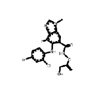 C=C(CO)ONC(=O)c1cc2c(ncn2C)c(F)c1Nc1ccc(Br)cc1Cl